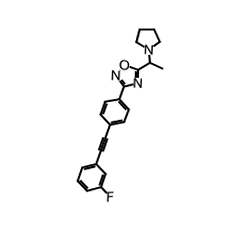 CC(c1nc(-c2ccc(C#Cc3cccc(F)c3)cc2)no1)N1CCCC1